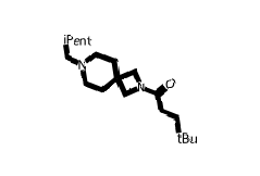 CCCC(C)CN1CCC2(CC1)CN(C(=O)CCC(C)(C)C)C2